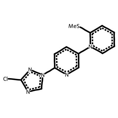 CSc1cccc[n+]1-c1ccc(-n2cnc(Cl)n2)nc1